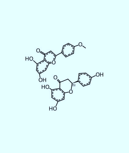 COc1ccc(-c2cc(=O)c3c(O)cc(O)cc3o2)cc1.O=C1C[C@@H](c2ccc(O)cc2)Oc2cc(O)cc(O)c21